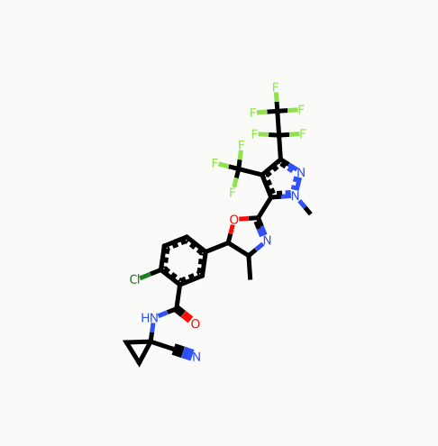 CC1N=C(c2c(C(F)(F)F)c(C(F)(F)C(F)(F)F)nn2C)OC1c1ccc(Cl)c(C(=O)NC2(C#N)CC2)c1